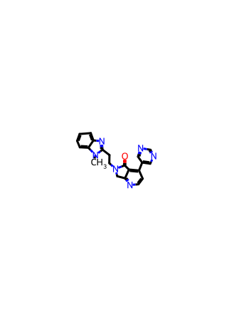 Cn1c(CCN2Cc3nccc(-c4cncnc4)c3C2=O)nc2ccccc21